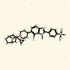 Cn1c(-c2ccc(S(C)(=O)=O)cc2)nc2ccc(C3CCN(C4CC5CCC(C4)N5CC4CC4)CC3)c(F)c21